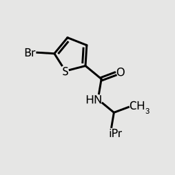 CC(C)C(C)NC(=O)c1ccc(Br)s1